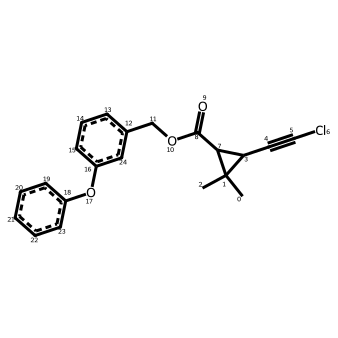 CC1(C)C(C#CCl)C1C(=O)OCc1cccc(Oc2ccccc2)c1